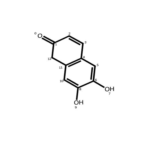 O=C1C=Cc2cc(O)c(O)cc2C1